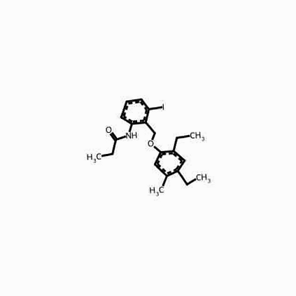 CCC(=O)Nc1cccc(I)c1COc1cc(C)c(CC)cc1CC